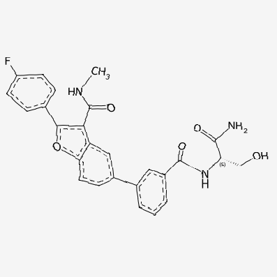 CNC(=O)c1c(-c2ccc(F)cc2)oc2ccc(-c3cccc(C(=O)N[C@@H](CO)C(N)=O)c3)cc12